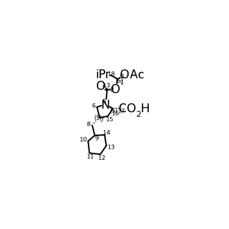 CC(=O)O[C@@H](OC(=O)N1C[C@@H](CC2CCCCC2)C[C@H]1C(=O)O)C(C)C